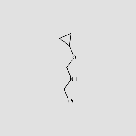 CC(C)CNCOC1CC1